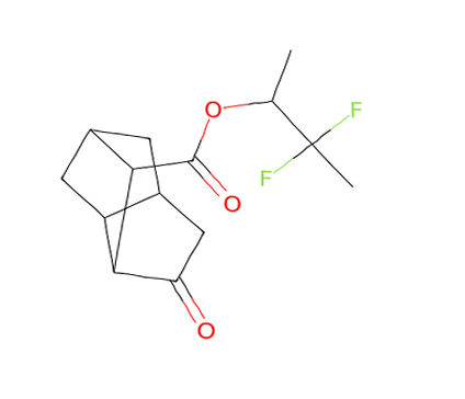 CC(OC(=O)C1C2CC3CC(=O)C1C3C2)C(C)(F)F